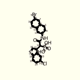 O=C(Nc1ccc2cc(Br)ccc2c1)C(c1csc2ccc(Cl)cc12)P(=O)(O)O